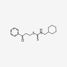 O=C(CCSC(=S)NCC1CCCCC1)c1ccccc1